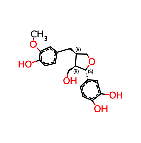 COc1cc(C[C@H]2CO[C@H](c3ccc(O)c(O)c3)[C@H]2CO)ccc1O